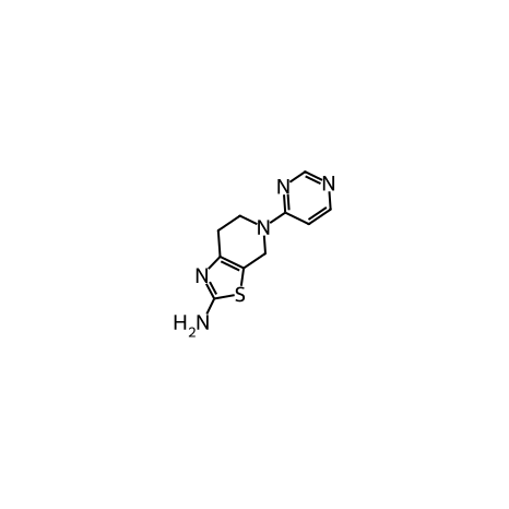 Nc1nc2c(s1)CN(c1ccncn1)CC2